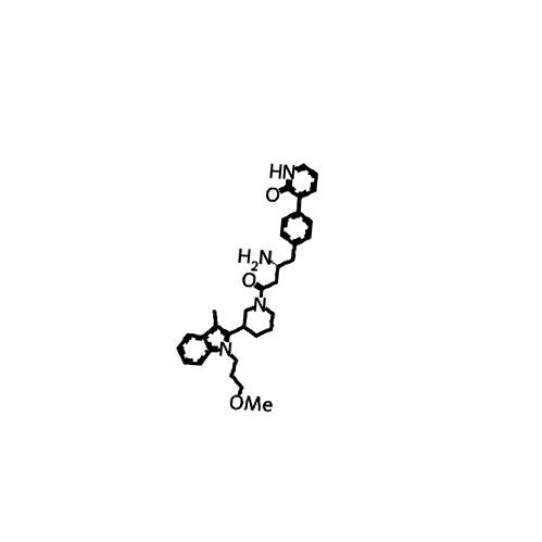 COCCCn1c(C2CCCN(C(=O)C[C@H](N)Cc3ccc(-c4ccc[nH]c4=O)cc3)C2)c(C)c2ccccc21